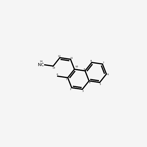 Cc1ccc2ccccc2c1/C=C\CC#N